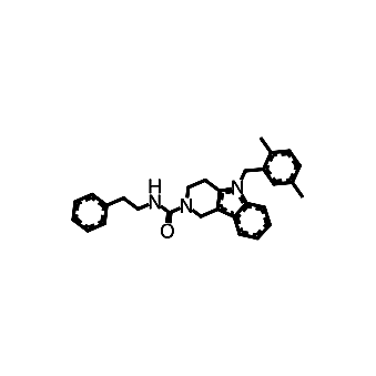 Cc1ccc(C)c(Cn2c3c(c4ccccc42)CN(C(=O)NCCc2ccccc2)CC3)c1